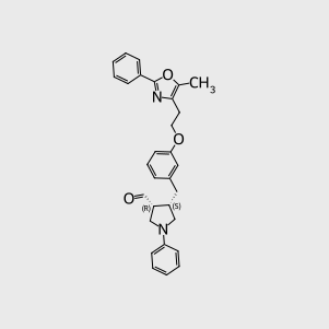 Cc1oc(-c2ccccc2)nc1CCOc1cccc(C[C@@H]2CN(c3ccccc3)C[C@@H]2C=O)c1